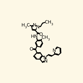 CCCn1nc(C)cc1C(=O)Nc1cc(C(=O)c2ccc3cnn(C=Cc4ccccn4)c3c2)ccc1C